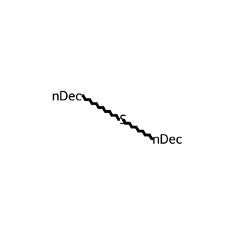 CCCCCCCCCCCCCCCCCCCCCCSCCCCCCCCCCCCCCCCCCC